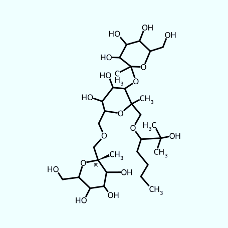 CCCCC(OCC1(C)OC(COC[C@@]2(C)OC(CO)C(O)C(O)C2O)C(O)C(O)C1OC1(C)OC(CO)C(O)C(O)C1O)C(C)(C)O